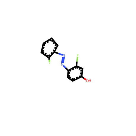 Oc1ccc(N=Nc2ccccc2F)c(F)c1